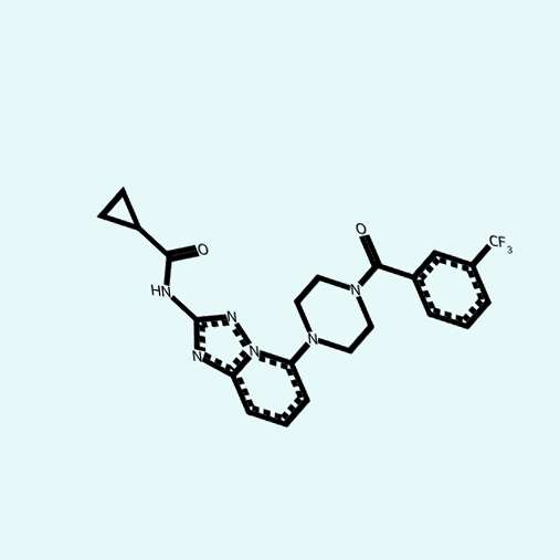 O=C(Nc1nc2cccc(N3CCN(C(=O)c4cccc(C(F)(F)F)c4)CC3)n2n1)C1CC1